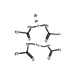 CCC(=O)[NH][Ti+][NH]C(=O)CC.CCC(=O)[NH][Ti+][NH]C(=O)CC.[Br-].[Br-]